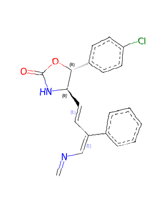 C=N/C=C(\C=C\[C@H]1NC(=O)O[C@@H]1c1ccc(Cl)cc1)c1ccccc1